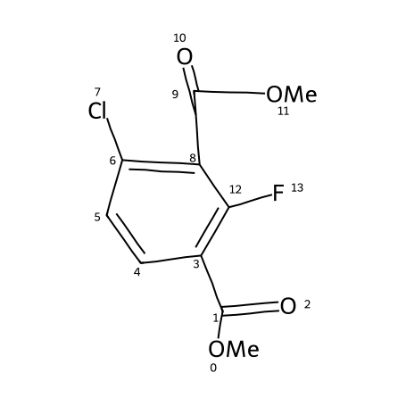 COC(=O)c1ccc(Cl)c(C(=O)OC)c1F